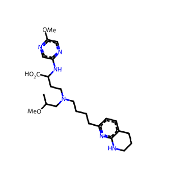 COc1cnc(NC(CCN(CCCCc2ccc3c(n2)NCCC3)CC(C)OC)C(=O)O)cn1